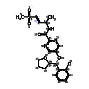 C[C@H](/C=C/S(C)(=O)=O)NC(=O)c1ncc(O[C@H](c2ccccc2Cl)[C@H]2CCCO2)cn1